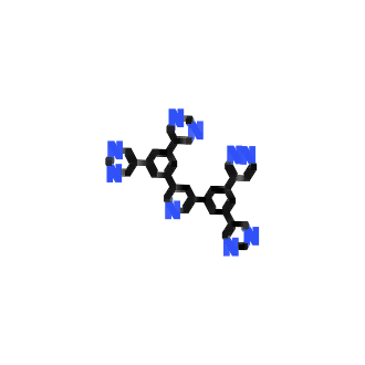 c1ncc(-c2cc(-c3cncnc3)cc(-c3cncc(-c4cc(-c5cncnc5)cc(-c5ccnnc5)c4)c3)c2)cn1